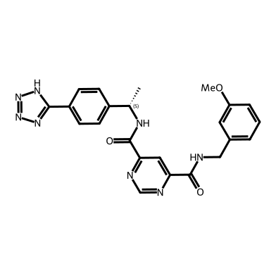 COc1cccc(CNC(=O)c2cc(C(=O)N[C@@H](C)c3ccc(-c4nnn[nH]4)cc3)ncn2)c1